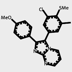 COc1ccc(-c2nc3ncccn3c2-c2cc(C)c(SC)c(Cl)c2)cc1